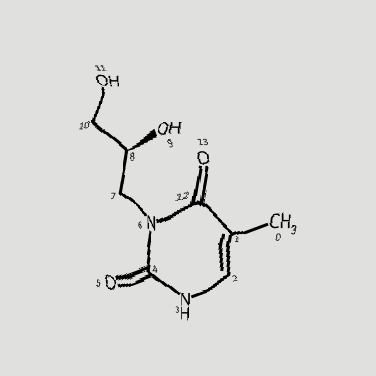 Cc1c[nH]c(=O)n(C[C@H](O)CO)c1=O